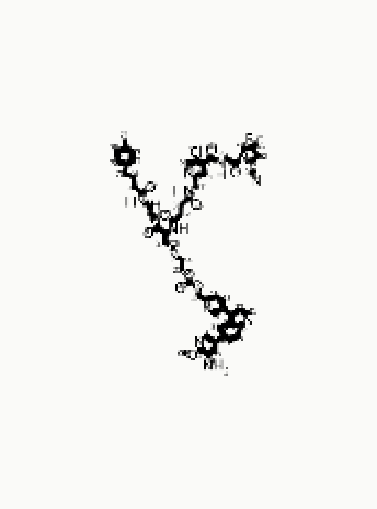 COc1ncc(-c2ccc3nccc(-c4ccc(COC(=O)OCCSSCC(NC(=O)CCC(=O)NCc5cc(C(=O)NCC(=O)N6CC(F)(F)C[C@H]6C#N)c(Cl)cn5)C(=O)NCCNC(=O)CCCc5ccc(C)cc5)nc4)c3c2)cc1N